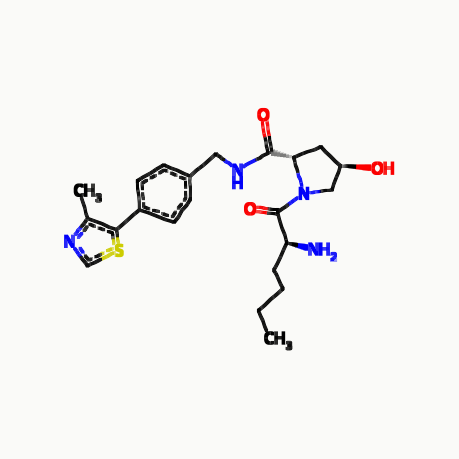 CCCC[C@H](N)C(=O)N1C[C@H](O)C[C@H]1C(=O)NCc1ccc(-c2scnc2C)cc1